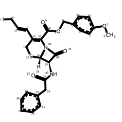 COc1ccc(COC(=O)C2=C(/C=C/CI)CS[C@H]3[C@H](NC(=O)Cc4ccccc4)C(=O)N23)cc1